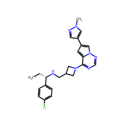 CC[C@H](NCC1CN(c2ncnn3cc(-c4cnn(C)c4)cc23)C1)c1ccc(Cl)cc1